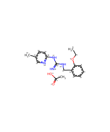 CC(=O)O.CCOc1ccccc1CNC(=N)Nc1ccc(C)cn1